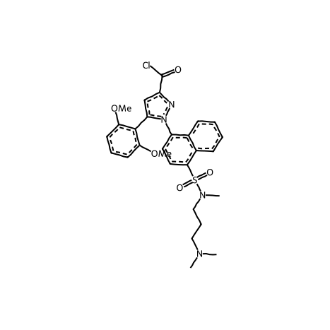 COc1cccc(OC)c1-c1cc(C(=O)Cl)nn1-c1ccc(S(=O)(=O)N(C)CCCN(C)C)c2ccccc12